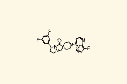 O=C1N2C(c3cc(F)cc(F)c3)CCN2CC12CCN(c1ccnc3c(F)cnn13)CC2